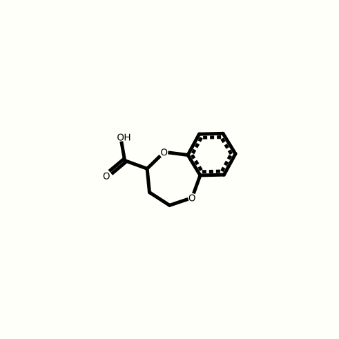 O=C(O)C1CCOc2ccccc2O1